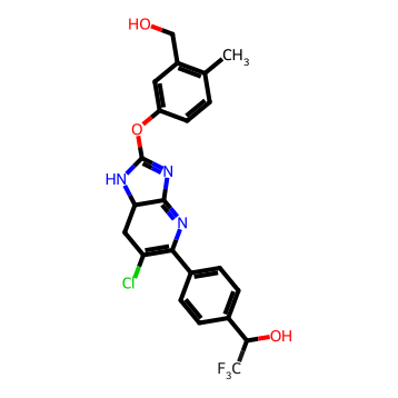 Cc1ccc(OC2=NC3=NC(c4ccc(C(O)C(F)(F)F)cc4)=C(Cl)CC3N2)cc1CO